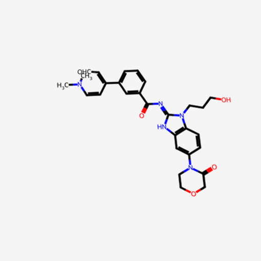 CN(C)/C=C\C(=C/C=O)c1cccc(C(=O)/N=c2\[nH]c3cc(N4CCOCC4=O)ccc3n2CCCO)c1